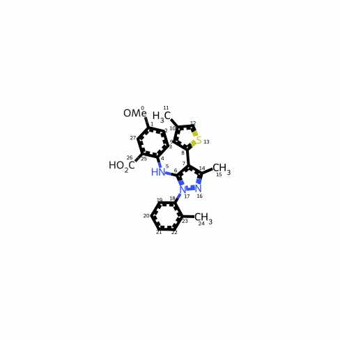 COc1ccc(Nc2c(-c3cc(C)cs3)c(C)nn2-c2ccccc2C)c(C(=O)O)c1